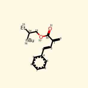 C=C(C=Cc1ccccc1)C(=O)OCC(CC)CCCC